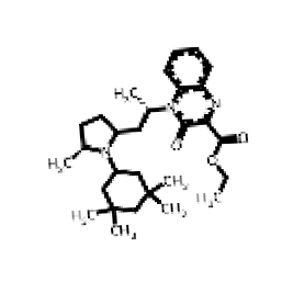 CCOC(=O)c1nc2ccccc2n([C@@H](C)CC2CC[C@H](C)N2C2CC(C)(C)CC(C)(C)C2)c1=O